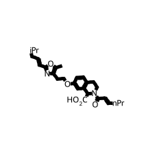 CCCC=CC(=O)N1CCc2ccc(OCCc3nc(C=CCC(C)C)oc3C)cc2C1C(=O)O